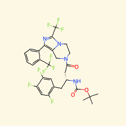 CC(C)(C)OC(=O)N[C@@H](CC(=O)N1CCn2c(C(F)(F)F)nc(-c3ccccc3C(F)(F)F)c2C1)Cc1cc(F)c(F)cc1F